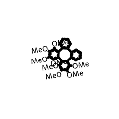 COc1c(OC)c(OC)c2c(c1OC)-c1ccccc1-c1ccccc1-c1c(OC)c(OC)c(OC)c(OC)c1-2